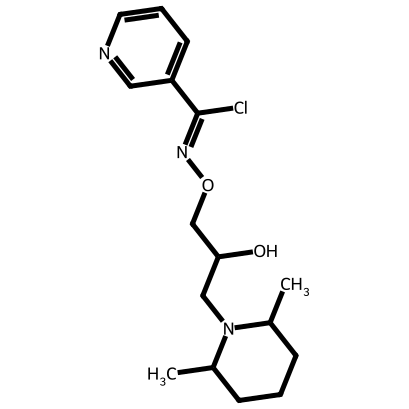 CC1CCCC(C)N1CC(O)CON=C(Cl)c1cccnc1